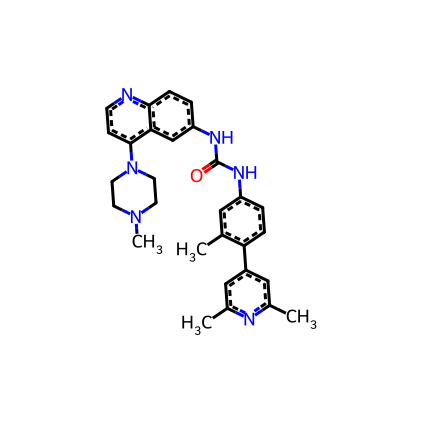 Cc1cc(-c2ccc(NC(=O)Nc3ccc4nccc(N5CCN(C)CC5)c4c3)cc2C)cc(C)n1